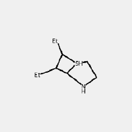 CCC1C(CC)[SH]2CCNC12